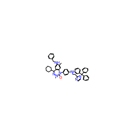 Cc1cc2c(cc1NCc1ccccc1)C(C1CCCCC1)=NN(C)C(=O)N2c1ccc(NCCc2nccn2C(c2ccccc2)(c2ccccc2)c2ccccc2)cc1